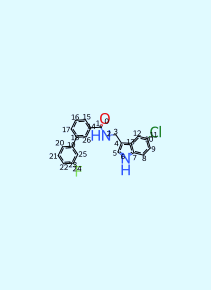 O=C(NCc1c[nH]c2ccc(Cl)cc12)c1cccc(-c2cccc(F)c2)c1